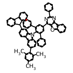 Cc1cc(C)c(-c2ccc3c(c2)c2ccc(C4c5ccccc5-c5ccccc54)cc2n3-c2c(-c3ccccc3)cc(-c3nc(-c4ccccc4)nc4c3oc3ccccc34)cc2-c2ccccc2)c(C)c1